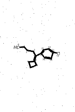 OCCCC(=C1CCC1)c1ccc(Cl)cc1